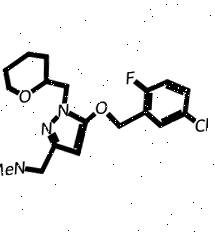 CNCc1cc(OCc2cc(Cl)ccc2F)n(CC2CCCCO2)n1